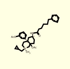 CC(=O)Oc1cccc([C@@]23CC[N@+](C)(CC4CC4)CC2(OC(C)=O)CC[C@H](NC(=O)CCCCCc2ccccc2)C3)c1